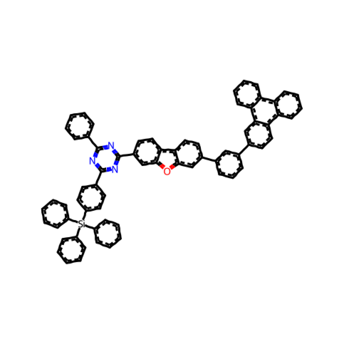 c1ccc(-c2nc(-c3ccc([Si](c4ccccc4)(c4ccccc4)c4ccccc4)cc3)nc(-c3ccc4c(c3)oc3cc(-c5cccc(-c6ccc7c8ccccc8c8ccccc8c7c6)c5)ccc34)n2)cc1